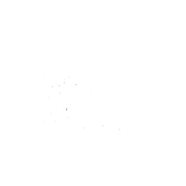 CO[C@H]1CN(C(=O)C(NC(=O)c2ccc(N3CCN(C4CC4)CC3)cc2)C(C)(C)C)[C@@H]2C(=O)CO[C@H]12